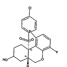 O=S(=O)(c1ccc(Cl)cc1)[C@@]12CCC(O)C[C@H]1COc1c(F)ccc(F)c12